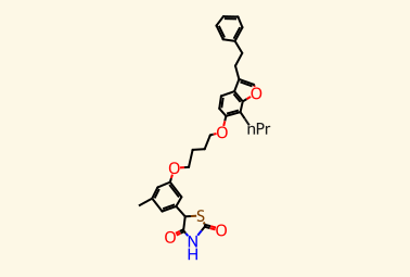 CCCc1c(OCCCCOc2cc(C)cc(C3SC(=O)NC3=O)c2)ccc2c(CCc3ccccc3)coc12